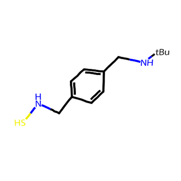 CC(C)(C)NCc1ccc(CNS)cc1